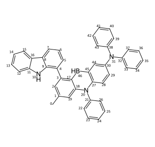 Cc1cc(-c2cccc3c2[nH]c2ccccc23)c2c(c1)N(c1ccccc1)c1ccc(N(c3ccccc3)c3ccccc3)cc1B2